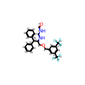 O=CNCNC(COCc1cc(C(F)(F)F)cc(C(F)(F)F)c1)C(c1ccccc1)c1ccccc1